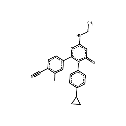 CCNc1cc(=O)n(-c2ccc(C3CC3)cc2)c(-c2ccc(C#N)c(F)c2)n1